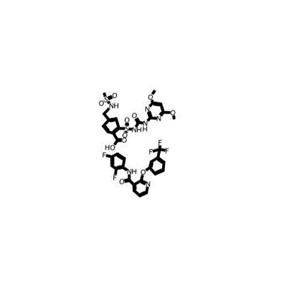 COc1cc(OC)nc(NC(=O)NS(=O)(=O)c2cc(CNS(C)(=O)=O)ccc2C(=O)O)n1.O=C(Nc1ccc(F)cc1F)c1cccnc1Oc1cccc(C(F)(F)F)c1